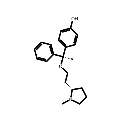 CN1CCC[C@H]1CCO[C@@](C)(c1ccccc1)c1ccc(O)cc1